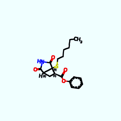 CCCCCCS[C@]12C(=O)NC(=O)[C@H]1C[C@@H]2C(=O)Oc1ccccc1